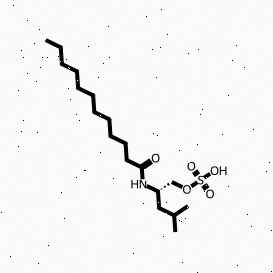 CCCCCCCCCCCC(=O)N[C@H](COS(=O)(=O)O)CC(C)C